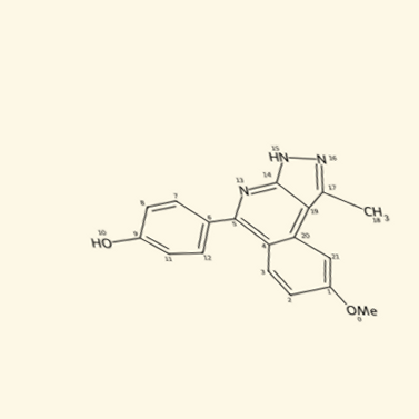 COc1ccc2c(-c3ccc(O)cc3)nc3[nH]nc(C)c3c2c1